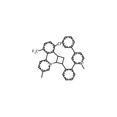 Cc1ccc2[n+](c1)C1C(c3ccccc3-c3cc(-c4ccccc4)cc[n+]3C)CC1c1c(C(F)(F)F)ccc(C(F)(F)F)c1-2